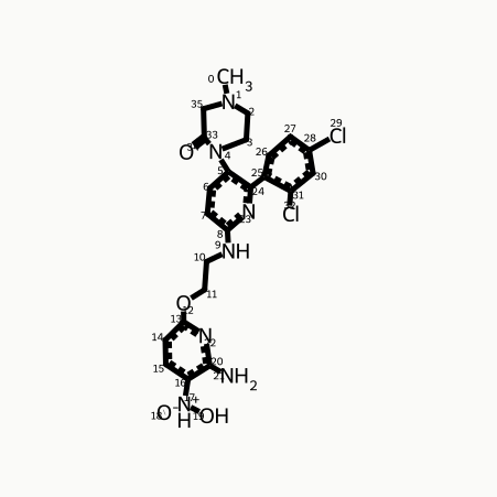 CN1CCN(c2ccc(NCCOc3ccc([NH+]([O-])O)c(N)n3)nc2-c2ccc(Cl)cc2Cl)C(=O)C1